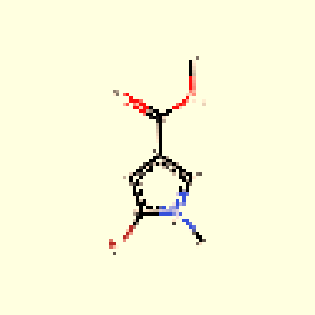 COC(=O)c1cc(Br)n(C)c1